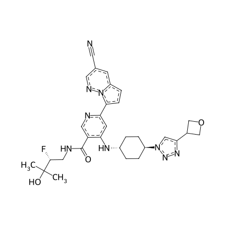 CC(C)(O)[C@H](F)CNC(=O)c1cnc(-c2ccc3cc(C#N)cnn23)cc1N[C@H]1CC[C@H](n2cc(C3COC3)nn2)CC1